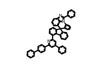 c1ccc(-c2ccc(-c3cc(-c4ccccc4)cc(-c4cccc5c4-c4ccccc4C54c5ccccc5-n5c(-c6ccccc6)nc6cccc4c65)n3)cc2)cc1